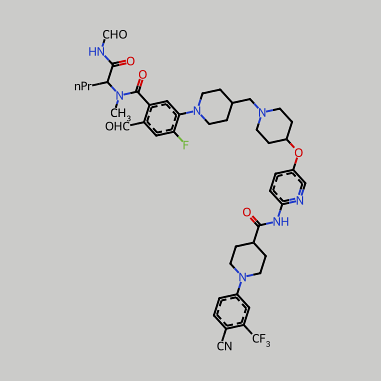 CCCC(C(=O)NC=O)N(C)C(=O)c1cc(N2CCC(CN3CCC(Oc4ccc(NC(=O)C5CCN(c6ccc(C#N)c(C(F)(F)F)c6)CC5)nc4)CC3)CC2)c(F)cc1C=O